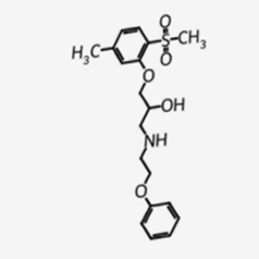 Cc1ccc(S(C)(=O)=O)c(OCC(O)CNCCOc2ccccc2)c1